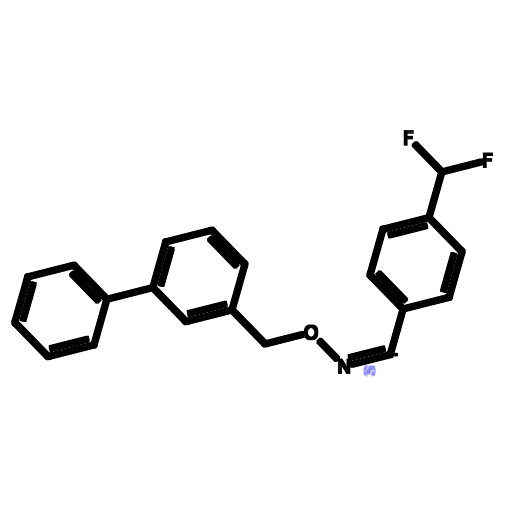 FC(F)c1ccc(/[C]=N\OCc2cccc(-c3ccccc3)c2)cc1